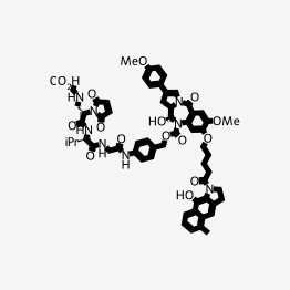 COc1ccc(C2=CN3C(=O)c4cc(OC)c(OCCCCC(=O)N5CCc6cc7c(C)cccc7c(O)c65)cc4N(C(=O)OCc4ccc(NC(=O)CNC(=O)[C@@H](NC(=O)[C@H](CNCC(=O)O)N5C(=O)C=CC5=O)C(C)C)cc4)[C@@H](O)C3C2)cc1